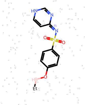 CCBOc1ccc(S(=O)(=O)/N=c2\cc[nH]cn2)cc1